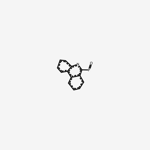 O=Pc1nc2ccccc2c2ccccc12